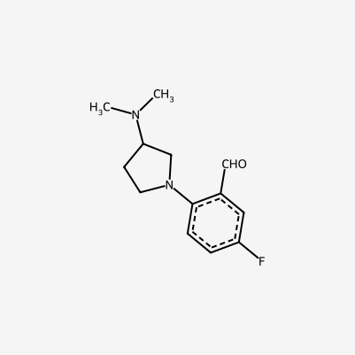 CN(C)C1CCN(c2ccc(F)cc2C=O)C1